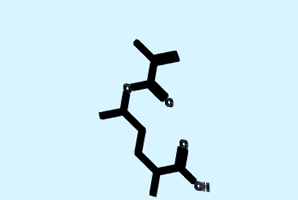 C=C(C)C(=O)OC(C)CCC(C)C(=O)O